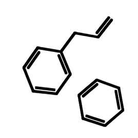 C=CCc1ccccc1.c1ccccc1